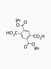 CC(C)OC(=O)c1cc(C(=O)O)c(C(=O)OC(C)C)cc1C(=O)O